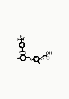 Cc1cc(SCC2CCC(C)c3sc(-c4ccc(C(F)(F)F)cc4)nc32)ccc1OCC(=O)O